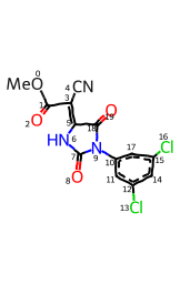 COC(=O)C(C#N)=C1NC(=O)N(c2cc(Cl)cc(Cl)c2)C1=O